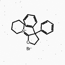 [Br-].c1ccc(C2(c3ccccc3)CCOC2=[N+]2CCCCC2)cc1